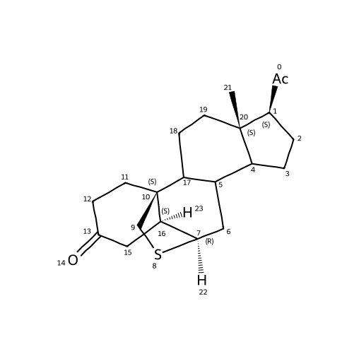 CC(=O)[C@H]1CCC2C3C[C@H]4SC[C@@]5(CCC(=O)C[C@H]45)C3CC[C@@]21C